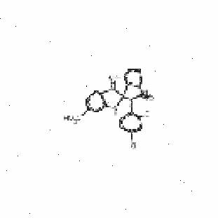 NC(=O)C(c1ccc(Cl)cc1Cl)C1(c2c(Cl)cccc2Cl)Nc2ccc(C(=O)O)cc2N1